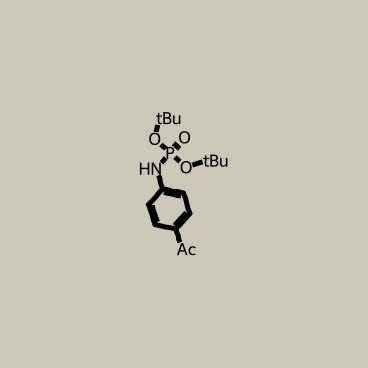 CC(=O)c1ccc(NP(=O)(OC(C)(C)C)OC(C)(C)C)cc1